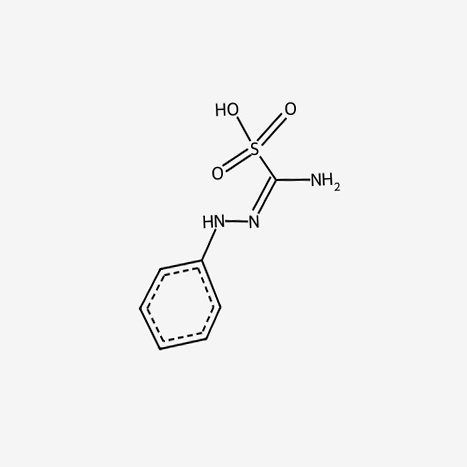 N/C(=N/Nc1ccccc1)S(=O)(=O)O